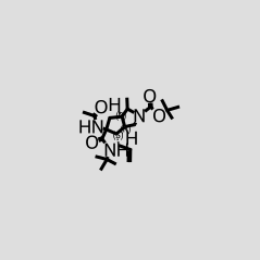 C=CC[C@H]1[C@@H]2CN(C(=O)OC(C)(C)C)C(C)[C@@H]2CC1(NC(C)=O)C(=O)NC(C)(C)C